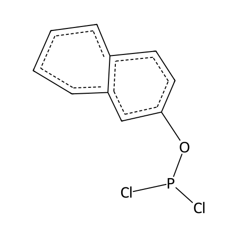 ClP(Cl)Oc1ccc2ccccc2c1